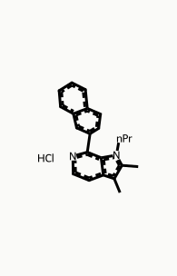 CCCn1c(C)c(C)c2ccnc(-c3ccc4ccccc4c3)c21.Cl